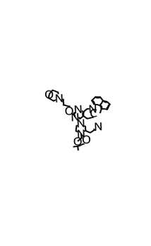 Cc1cccc2cccc(N3CCCc4c(nc(OCCCN5CCOCC5)nc4N4CCN(C(=O)OC(C)(C)C)C(CC#N)C4)C3)c12